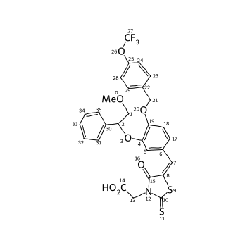 COCC(Oc1cc(C=C2SC(=S)N(CC(=O)O)C2=O)ccc1OCc1ccc(OC(F)(F)F)cc1)c1ccccc1